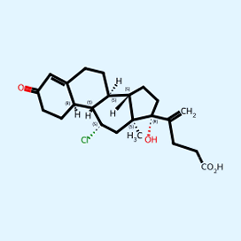 C=C(CCC(=O)O)[C@]1(O)CC[C@H]2[C@@H]3CCC4=CC(=O)CC[C@@H]4[C@H]3[C@@H](Cl)C[C@@]21C